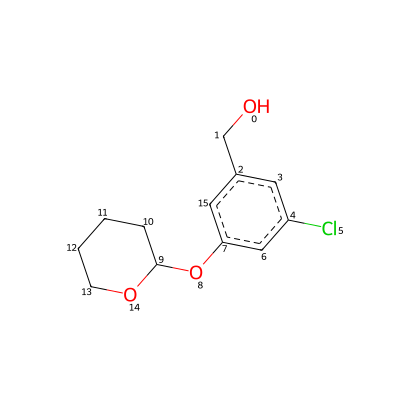 OCc1cc(Cl)cc(OC2CCCCO2)c1